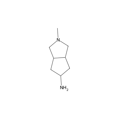 CN1CC2CC(N)CC2C1